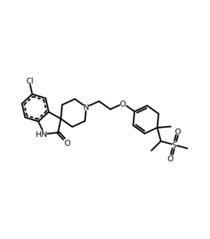 CC(C1(C)C=CC(OCCN2CCC3(CC2)C(=O)Nc2ccc(Cl)cc23)=CC1)S(C)(=O)=O